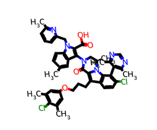 Cc1ccc2c(c1)c(N1C[C@@H](C)n3c(c(CCCOc4cc(C)c(Cl)c(C)c4)c4ccc(Cl)c(-c5c(C)ncnc5C)c43)C1=O)c(C(=O)O)n2Cc1cccc(C)n1